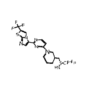 CS(=N)CC1CCCN(c2ccnc(-c3cnc4sc(C(F)(F)F)cn34)n2)C1